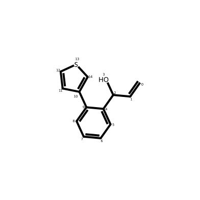 C=CC(O)c1ccccc1-c1ccsc1